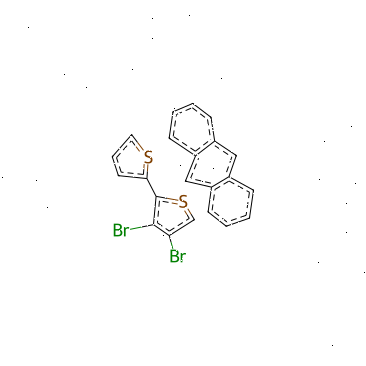 Brc1csc(-c2cccs2)c1Br.c1ccc2cc3ccccc3cc2c1